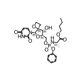 CCCCOC(=O)[C@H](C)NP(=O)(OC[C@H]1O[C@@H](n2ccc(=O)[nH]c2=O)[C@@]2(CCO2)[C@@H]1O)Oc1ccccc1